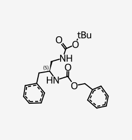 CC(C)(C)OC(=O)NC[C@H](Cc1ccccc1)NC(=O)OCc1ccccc1